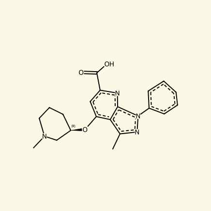 Cc1nn(-c2ccccc2)c2nc(C(=O)O)cc(O[C@@H]3CCCN(C)C3)c12